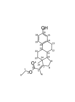 CCOC(=O)C(C)=C1CCC2C3CCc4cc(O)ccc4C3CCC12C